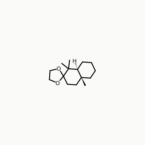 CC1(C)[C@H]2CCCC[C@]2(C)CCC12OCCO2